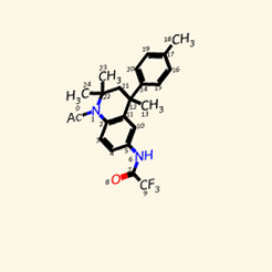 CC(=O)N1c2ccc(NC(=O)C(F)(F)F)cc2C(C)(c2ccc(C)cc2)CC1(C)C